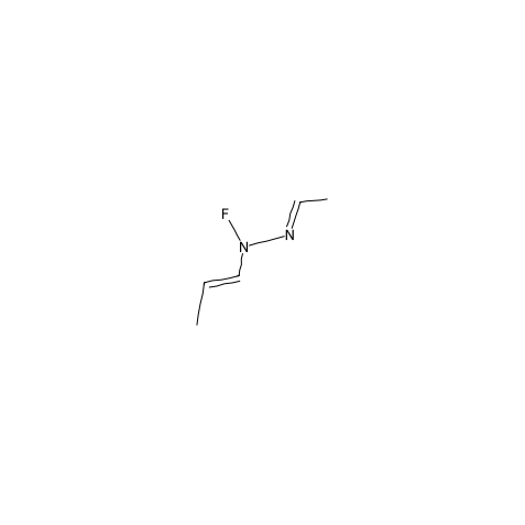 CC=CN(F)N=CC